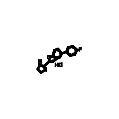 Cl.Fc1ccc(-c2ccc3oc(C4=NCCN4)cc3c2)cc1